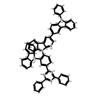 c1ccc(-c2nc(-c3ccccc3)nc(-c3ccc(-n4c5ccccc5c5cc(-c6ccc7c(c6)c6ccccc6n7-c6ccccc6)cnc54)c(-n4c5ccccc5c5ccccc54)c3)n2)cc1